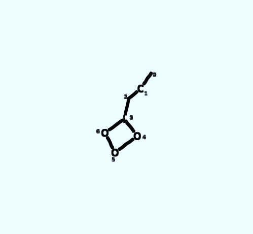 CCCI1OOO1